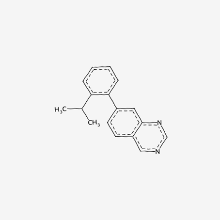 CC(C)c1ccccc1-c1ccc2cncnc2c1